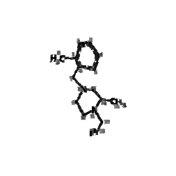 Cc1ccccc1CN1CCN(CC(C)C)C(C)C1